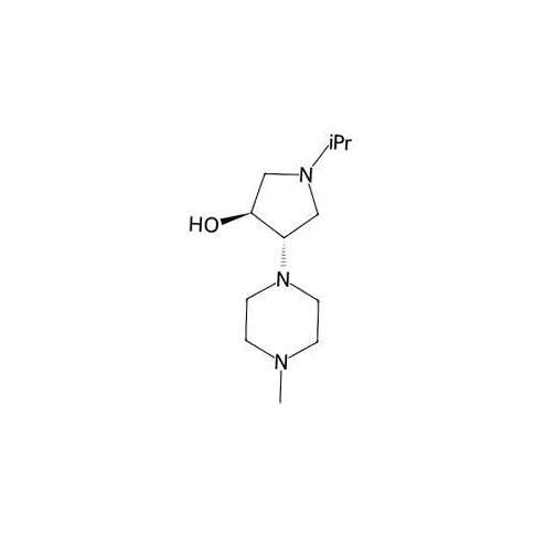 CC(C)N1C[C@H](O)[C@@H](N2CCN(C)CC2)C1